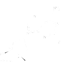 C[C@]1(CO)OC(n2cnc3c(N)nc(F)nc32)C[C@@H]1O